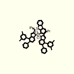 Cc1cc(C)cc(-c2c(-c3ccccc3)ccc3c2C=C(CC(C)C)[CH]3[Zr]([Cl])([Cl])([c]2cccc3c2[SiH2]c2ccccc2-3)[CH]2C(CC(C)C)=Cc3c2ccc(-c2ccccc2)c3-c2cc(C)cc(C)c2)c1